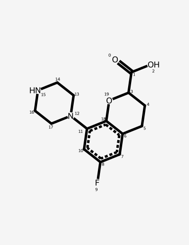 O=C(O)C1CCc2cc(F)cc(N3CCNCC3)c2O1